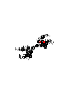 C=Cc1ccc(Oc2ccc(C3(c4ccc(C(C)(C)C)cc4)c4ccccc4-c4ccc(N(c5ccc(-c6ccc(N(c7ccc(C)c(F)c7)c7ccc8c(c7)C(c7ccc(Oc9ccc(C=C)cc9)cc7)(c7ccc(C(C)(C)C)cc7)c7ccccc7-8)cc6)cc5)c5ccc(C)c(F)c5)cc43)cc2)cc1